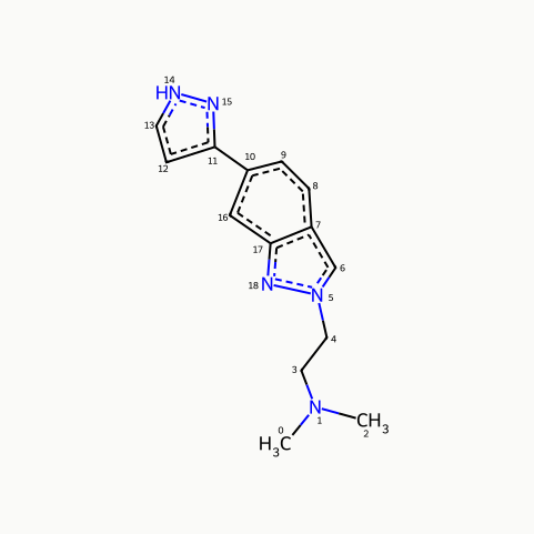 CN(C)CCn1cc2ccc(-c3cc[nH]n3)cc2n1